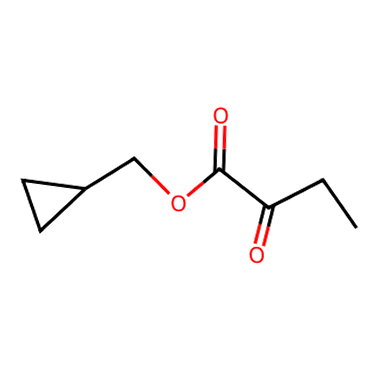 CCC(=O)C(=O)OCC1CC1